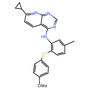 COc1ccc(Sc2ccc(C)cc2Nc2ncnc3nc(C4CC4)ccc23)cc1